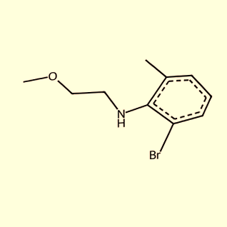 COCCNc1c(C)cccc1Br